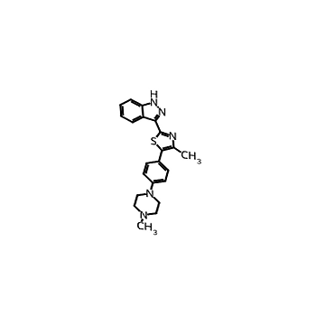 Cc1nc(-c2n[nH]c3ccccc23)sc1-c1ccc(N2CCN(C)CC2)cc1